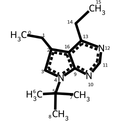 CCc1cn(C(C)(C)C)c2ncnc(CC)c12